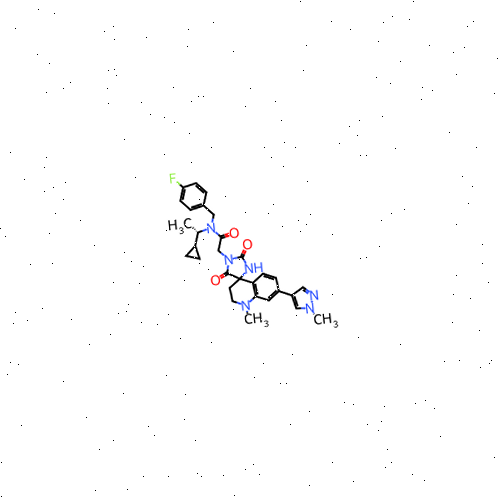 C[C@@H](C1CC1)N(Cc1ccc(F)cc1)C(=O)CN1C(=O)NC2(CCN(C)c3cc(-c4cnn(C)c4)ccc32)C1=O